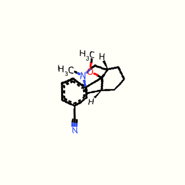 COC1(c2cccc(C#N)c2)[C@@H]2CCC[C@H]1CN(C)C2